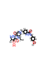 CCCN1C(=O)[C@@H]([C@H](O)C(C)C)NC(=O)C12CCN(Cc1ccc(C(=O)NCc3ccc(OC)cc3)cc1)CC2